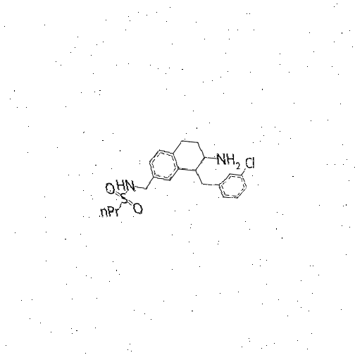 CCCS(=O)(=O)NCc1ccc2c(c1)C(Cc1cccc(Cl)c1)C(N)CC2